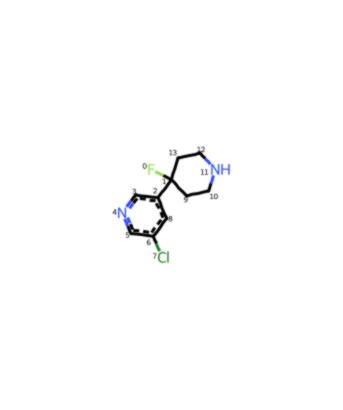 FC1(c2cncc(Cl)c2)CCNCC1